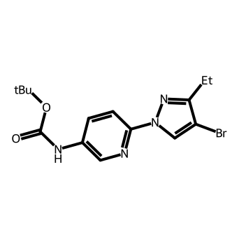 CCc1nn(-c2ccc(NC(=O)OC(C)(C)C)cn2)cc1Br